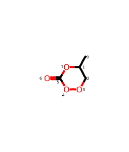 CC1COOC(=O)O1